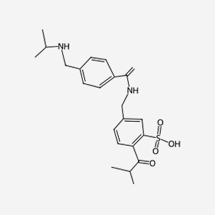 C=C(NCc1ccc(C(=O)C(C)C)c(S(=O)(=O)O)c1)c1ccc(CNC(C)C)cc1